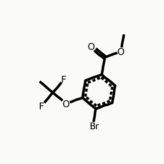 COC(=O)c1ccc(Br)c(OC(C)(F)F)c1